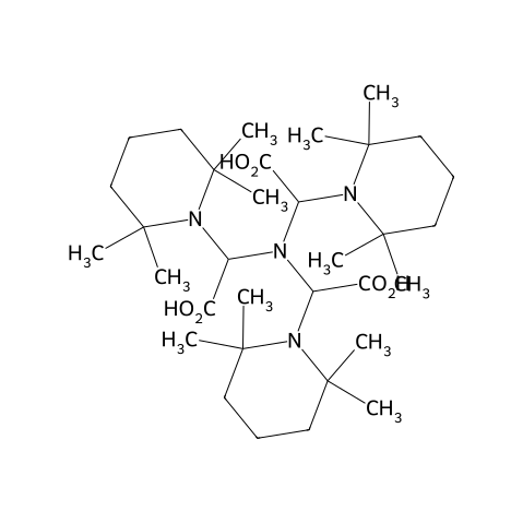 CC1(C)CCCC(C)(C)N1C(C(=O)O)N(C(C(=O)O)N1C(C)(C)CCCC1(C)C)C(C(=O)O)N1C(C)(C)CCCC1(C)C